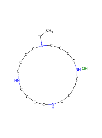 Cl.[CH3][Ti][N]1CCCCNCCCCNCCCCNCCCC1